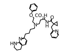 O=C(O)C(CCN(CCCCc1ccc2c(n1)NCCC2)CCOc1ccccc1)NC(=O)C1(Cc2ccccn2)CC1